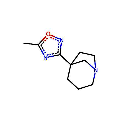 Cc1nc(C23CCCN(CC2)C3)no1